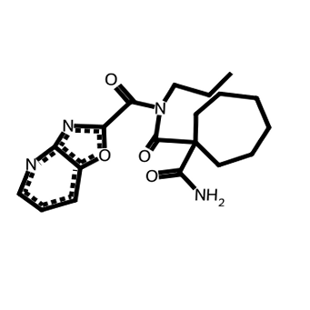 CCCN(C(=O)c1nc2ncccc2o1)C(=O)C1(C(N)=O)CCCCCC1